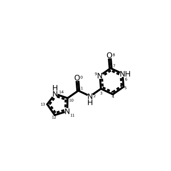 O=C(Nc1cc[nH]c(=O)n1)c1ncc[nH]1